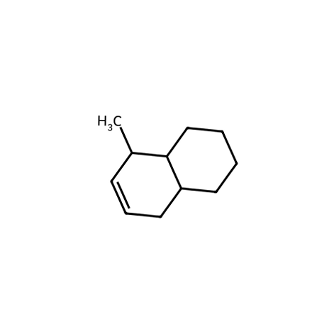 CC1C=CCC2CCCCC12